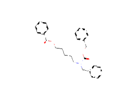 O=C(OCCCCCN(Cc1ccccc1)C(=O)OCc1ccccc1)c1ccccc1